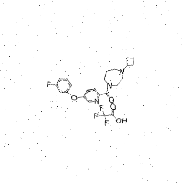 O=C(O)C(F)(F)F.O=C(c1ccc(Oc2cccc(F)c2)cn1)N1CCCN(C2CCC2)CC1